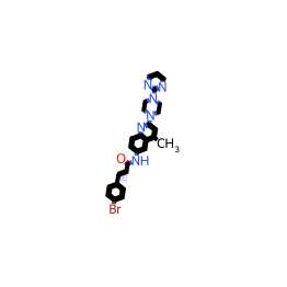 Cc1cc(N2CCN(c3ncccn3)CC2)nc2ccc(NC(=O)/C=C/c3ccc(Br)cc3)cc12